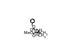 COC(=O)[C@@H]1[C@@H]2[C@H](CN1C(=O)OCc1ccccc1)C2(C)C